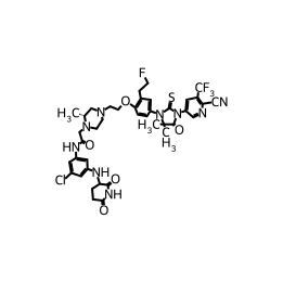 C[C@@H]1CN(CCOc2ccc(N3C(=S)N(c4cnc(C#N)c(C(F)(F)F)c4)C(=O)C3(C)C)cc2CCF)CCN1CC(=O)Nc1cc(Cl)cc(NC2CCC(=O)NC2=O)c1